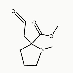 COC(=O)C1(CC=O)CCCN1C